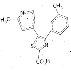 Cc1cccc(-c2nc(C(=O)O)sc2-c2ccnc(C)c2)c1